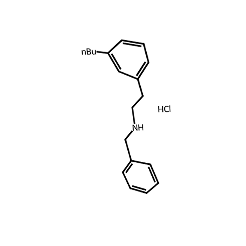 CCCCc1cccc(CCNCc2ccccc2)c1.Cl